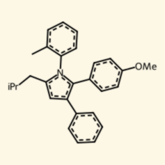 COc1ccc(-c2c(-c3ccccc3)cc(CC(C)C)n2-c2ccccc2C)cc1